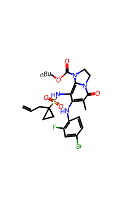 C=CCC1(S(=O)(=O)Nc2c(Nc3ccc(Br)cc3F)c(C)c(=O)n3c2N(C(=O)OCCCC)CC3)CC1